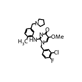 COc1cn(Cc2ccc(F)c(Cl)c2)c(Nc2cc(CN3CCCC3)ccc2C)nc1=O